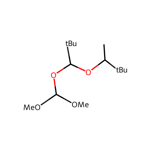 COC(OC)OC(OC(C)C(C)(C)C)C(C)(C)C